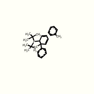 CC1(c2ccccc2)C=CC=CC1P(C(C)(C)C)C(C)(C)C.Cc1ccccc1